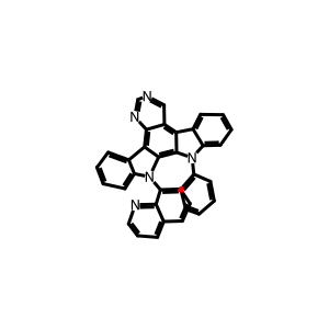 c1ccc(-n2c3ccccc3c3c4cncnc4c4c5ccccc5n(-c5cccc6cccnc56)c4c32)cc1